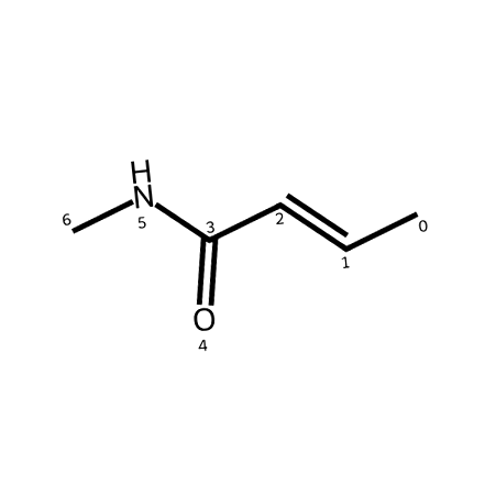 CC=CC(=O)NC